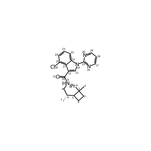 CC(C)C1(C)CCC1[C@H](C)CNC(=O)c1cn(-c2ncccn2)c2cccc(Cl)c12